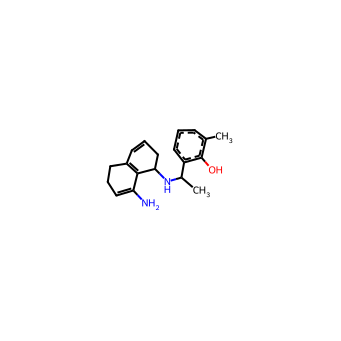 Cc1cccc(C(C)NC2CC=CC3=C2C(N)=CCC3)c1O